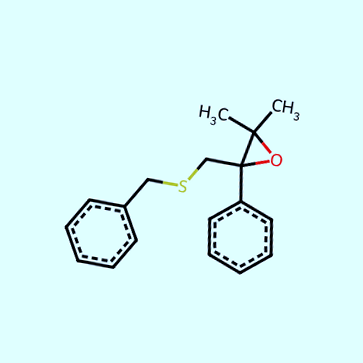 CC1(C)OC1(CSCc1ccccc1)c1ccccc1